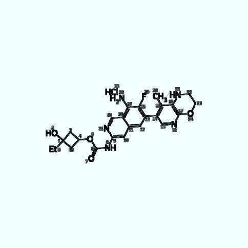 CCC1(O)CC(OC(=O)Nc2cc3cc(-c4cnc5c(c4C)NCCO5)c(F)c(N)c3cn2)C1.Cl